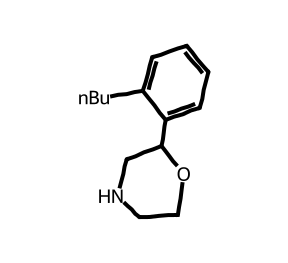 CCCCc1ccccc1C1CNCCO1